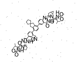 COC(=O)N[C@H](C(=O)N1CCC[C@H]1c1ncc(-c2ccc(-c3ccc(-c4ccc5nc([C@@H]6CC7CC7N6C(=O)[C@@H](NC(=O)OC)C(C)C)[nH]c(=O)c5c4)c4c3CC3(CCCC3)C4)c3cnoc23)[nH]1)C(C)C